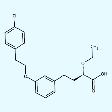 CCO[C@H](CCc1cccc(OCCc2ccc(Cl)cc2)c1)C(=O)O